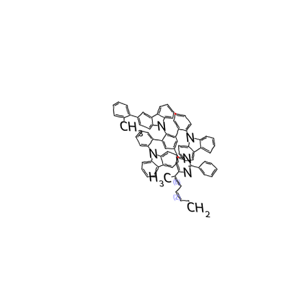 C=C/C=C\C=C(/C)c1cc(-c2cc(-c3ccccc3-n3c4ccccc4c4ccccc43)c(-n3c4ccccc4c4cc(-c5ccccc5C)ccc43)c(-c3ccccc3-n3c4ccccc4c4ccccc43)c2)nc(-c2ccccc2)n1